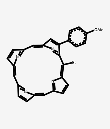 CCC1=C2C=CC(=N2)C=C2C=CC(=N2)C=C2C=CC(=N2)C=C2C=C(c3ccc(OC)cc3)C1=N2